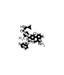 C[C@H]1CN(C(=O)[C@@H]2N[C@H]2C2CC2)CCN1c1nc(OC[C@@]23CCCN2C[C@H](F)C3)nc2c(F)c(-c3ccc(F)c4sc(N)c(C#N)c34)c(Cl)cc12